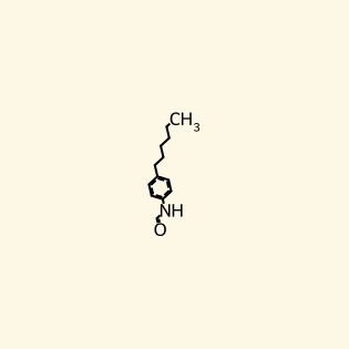 CCCCCCc1ccc(NC=O)cc1